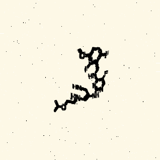 COc1ccc(F)c(CNc2nc(N/C(C=N)=C/NCCOC(C)C)ncc2F)c1F